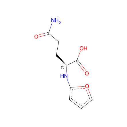 NC(=O)CC[C@H](Nc1ccco1)C(=O)O